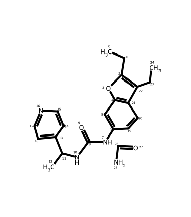 CCc1oc2cc(NC(=O)NC(C)c3ccncc3)ccc2c1CC.NC=O